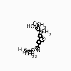 C[C@H]1C[C@H](N(C)c2ccc3c(c2)OCc2cc(-c4cnn(COCC[Si](C)(C)C)c4)ccc2-3)CCN1C(=O)O